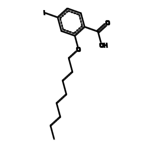 CCCCCCCCOc1cc(I)ccc1C(=O)O